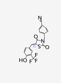 N#Cc1ccc(CN2C(=O)S/C(=C\c3ccc(O)c(C(F)(F)F)c3)C2=O)cc1